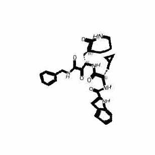 O=C(NCc1ccccc1)C(=O)[C@H](C[C@@H]1CCCNC1=O)NC(=O)[C@H](CC1CC1)NC(=O)c1cc2ccccc2[nH]1